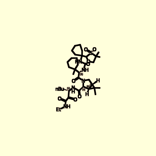 CCCC[C@H](NC(=O)[C@@H]1[C@@H]2[C@H](CN1C(=O)[C@@H](NC(=O)NC1(C3OCC(C)(C)S3(=O)=O)CCCCC1)C1(C)CCCCC1)C2(C)C)C(=O)C(=O)NCC